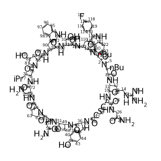 CCCCC1C(=O)N(C)C(CCCC)C(=O)NC(CCCNC(=N)N)C(=O)NC(C(=O)NCC(N)=O)CSCC(=O)NC(Cc2ccc(O)cc2)C(=O)N(C)C(C)C(=O)NC(CC(N)=O)C(=O)N2CCCC2C(=O)NC(CN)C(=O)NC(CC(C)C)C(=O)N2C[C@H](O)CC2C(=O)NC(Cc2c[nH]c3ccccc23)C(=O)NC(CO)C(=O)NC(Cc2c(-c3ccc(F)cc3)[nH]c3ccccc23)C(=O)N1C